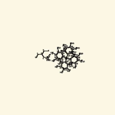 CCC(CC)C[NH+](C)C.Fc1c(F)c(F)c([B-](c2c(F)c(F)c(F)c(F)c2F)(c2c(F)c(F)c(F)c(F)c2F)c2c(F)c(F)c(F)c(F)c2F)c(F)c1F